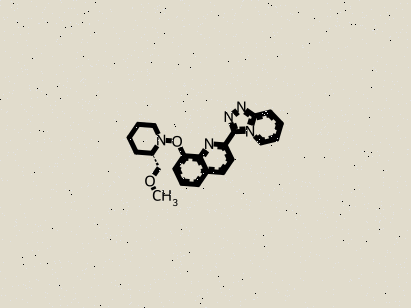 COC[C@@H]1CCCCN1Oc1cccc2ccc(-c3nnc4ccccn34)nc12